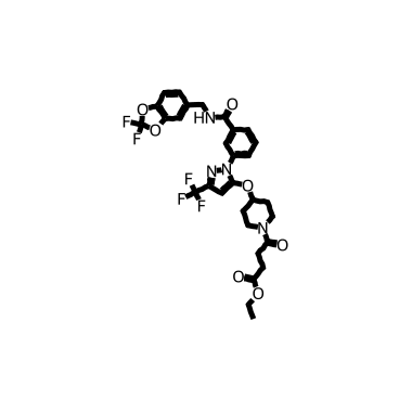 CCOC(=O)CCC(=O)N1CCC(Oc2cc(C(F)(F)F)nn2-c2cccc(C(=O)NCc3ccc4c(c3)OC(F)(F)O4)c2)CC1